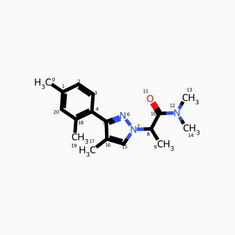 Cc1ccc(-c2nn(C(C)C(=O)N(C)C)cc2C)c(C)c1